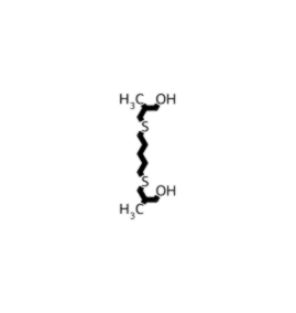 CC(CO)CSCCCCCSCC(C)CO